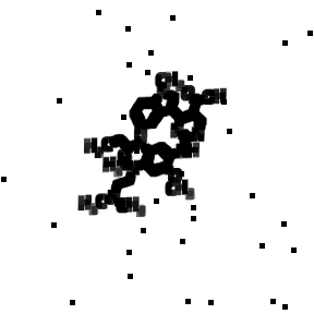 C=CC(=O)Nc1cc(Nc2ncc(C(=O)O)c(-c3cn(C)c4ccccc34)n2)c(OC)cc1N(C)CCN(C)C